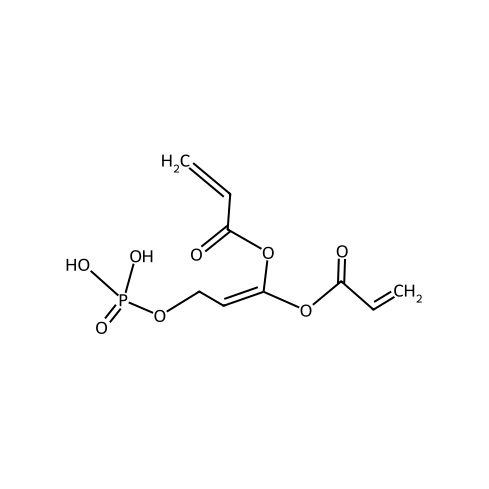 C=CC(=O)OC(=CCOP(=O)(O)O)OC(=O)C=C